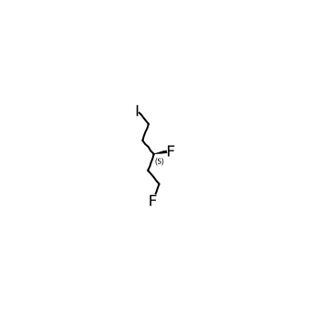 FCC[C@H](F)CCI